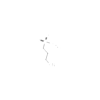 N#CCCCS(=O)(=O)[O-].[Na+]